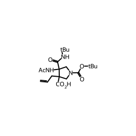 C=CCC1(C(=O)O)CN(C(=O)OC(C)(C)C)CC1(NC(C)=O)C(=O)NC(C)(C)C